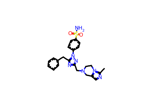 Cc1ncc2n1CCN(Cc1nc(Cc3ccccc3)n(-c3ccc(S(N)(=O)=O)cc3)n1)C2